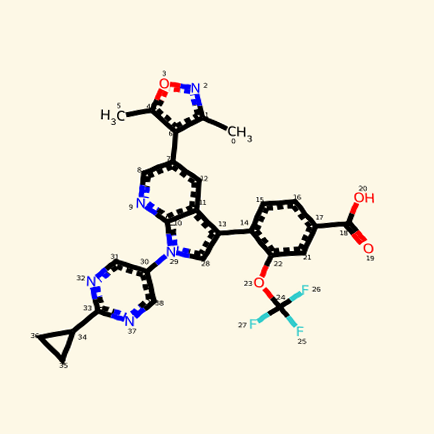 Cc1noc(C)c1-c1cnc2c(c1)c(-c1ccc(C(=O)O)cc1OC(F)(F)F)cn2-c1cnc(C2CC2)nc1